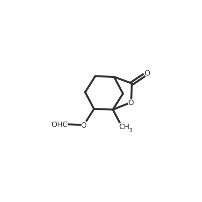 CC12CC(CCC1OC=O)C(=O)O2